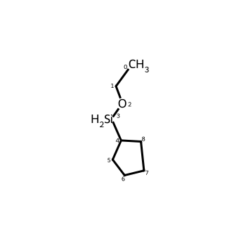 CCO[SiH2]C1CCCC1